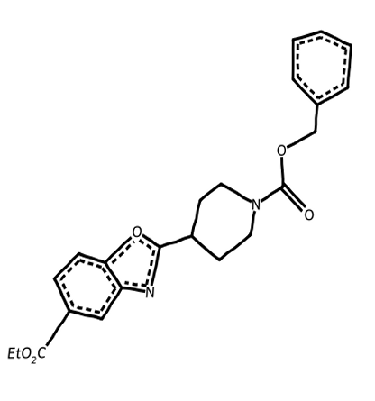 CCOC(=O)c1ccc2oc(C3CCN(C(=O)OCc4ccccc4)CC3)nc2c1